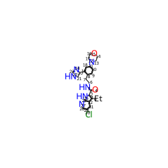 CCc1c(C(=O)NCCc2ccc(N3CCOCC3)cc2[C@H]2CNC=N2)[nH]c2ncc(Cl)cc12